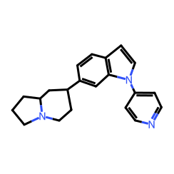 c1cc(-n2ccc3ccc(C4CCN5CCCC5C4)cc32)ccn1